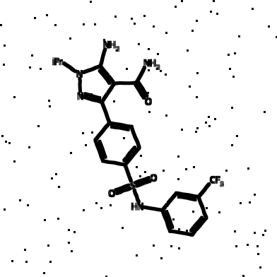 CC(C)n1nc(-c2ccc(S(=O)(=O)Nc3cccc(C(F)(F)F)c3)cc2)c(C(N)=O)c1N